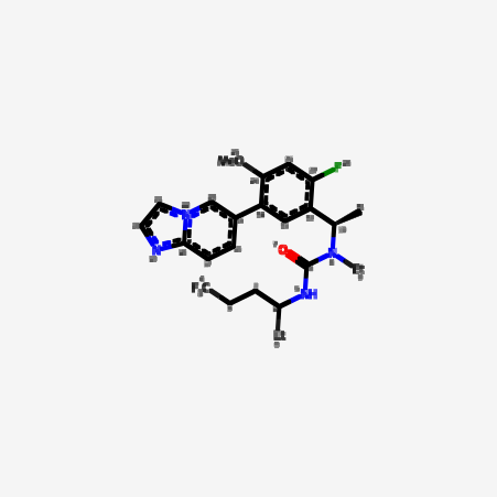 CCC(CCC(F)(F)F)NC(=O)N(CC)[C@H](C)c1cc(-c2ccc3nccn3c2)c(OC)cc1F